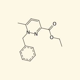 CCOC(=O)C1=NN(Cc2ccccc2)C(C)=C=C1